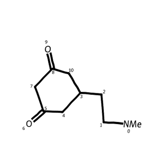 CNCCC1CC(=O)CC(=O)C1